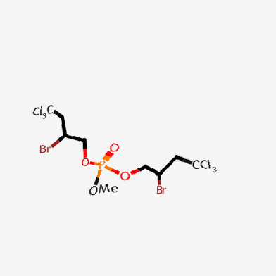 COP(=O)(OCC(Br)CC(Cl)(Cl)Cl)OCC(Br)CC(Cl)(Cl)Cl